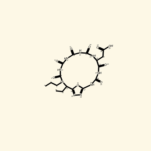 CCCN1C(=O)NC(=O)NC(=O)NC(=O)NC(CC(=O)O)C(=O)NC(=O)Nc2nnc(o2)C1CC